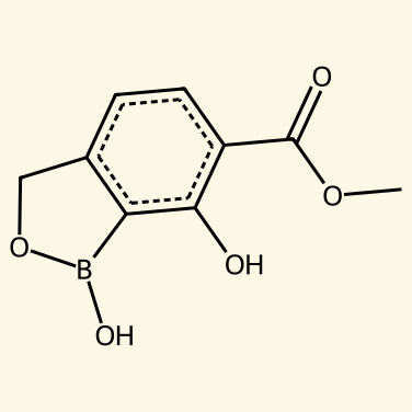 COC(=O)c1ccc2c(c1O)B(O)OC2